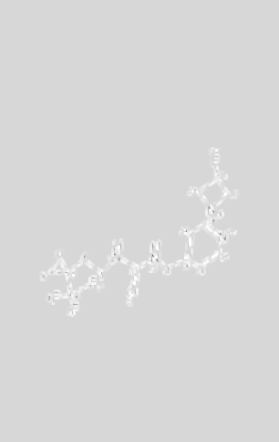 O=C(NCCC1(C(F)(F)F)CC1)NCc1ccnc(N2CC(F)C2)c1